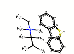 CC[N+](C)(C)C(C)(C)C(C)C.c1ccc2c(c1)sc1ccccc12